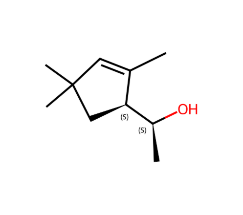 CC1=CC(C)(C)C[C@@H]1[C@H](C)O